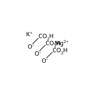 O=C([O-])O.O=C([O-])O.O=C([O-])O.[K+].[Mg+2]